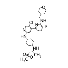 C[C@H](CS(C)(=O)=O)N[C@H]1CC[C@H](Nc2cc(-c3ccc(F)c(NCC4CCOCC4)n3)c(Cl)cn2)CC1